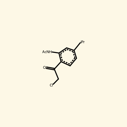 CC(=O)Nc1cc(C(C)C)ccc1C(=O)CCl